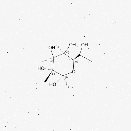 CC(O)[C@H]1O[C@@](C)(O)[C@](C)(O)[C@@](C)(O)[C@@]1(C)O